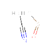 CC#N.C[S+]=O